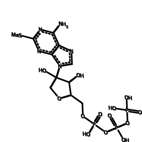 CSc1nc(N)c2ncn(C3(O)COC(COP(=O)(O)OP(=O)(O)OP(=O)(O)O)C3O)c2n1